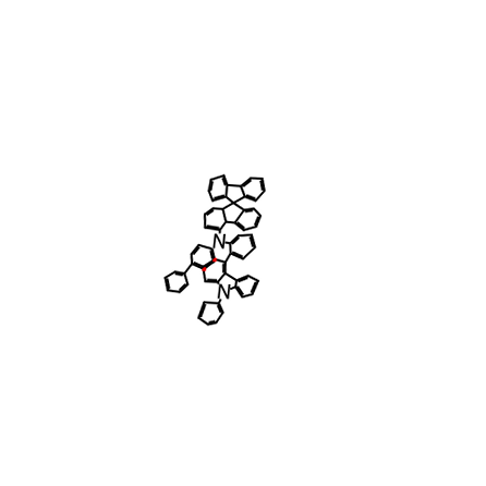 C1=CC2C(C(N(c3ccc(-c4ccccc4)cc3)c3ccccc3-c3cccc4c3c3ccccc3n4-c3ccccc3)=C1)c1ccccc1C21c2ccccc2-c2ccccc21